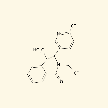 O=C(O)C1c2ccccc2C(=O)N(CC(F)(F)F)C1c1ccc(C(F)(F)F)nc1